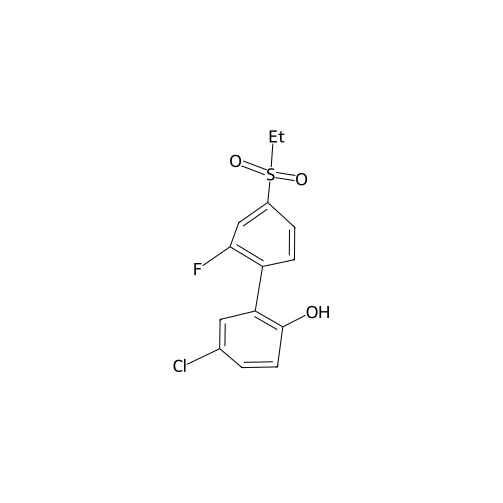 CCS(=O)(=O)c1ccc(-c2cc(Cl)ccc2O)c(F)c1